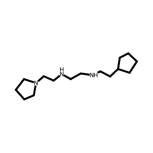 C1CCC(CCNCCNCCN2CCCC2)C1